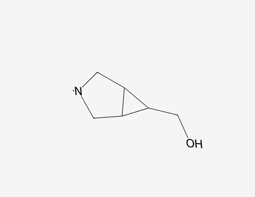 OCC1C2C[N]CC12